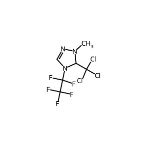 CN1N=CN(C(F)(F)C(F)(F)F)C1C(Cl)(Cl)Cl